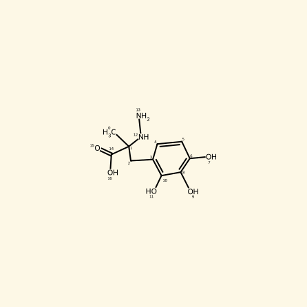 CC(Cc1ccc(O)c(O)c1O)(NN)C(=O)O